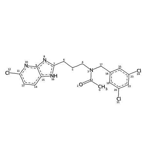 CC(=O)N(CCCc1nc2nc(Cl)ccc2[nH]1)Cc1cc(Cl)cc(Cl)c1